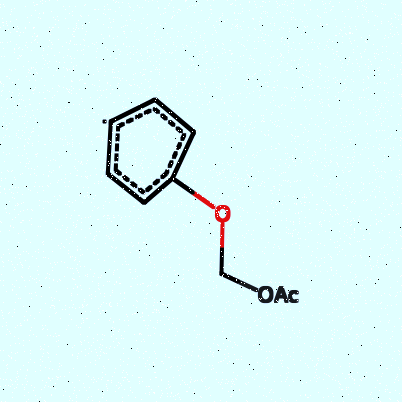 CC(=O)OCOc1cc[c]cc1